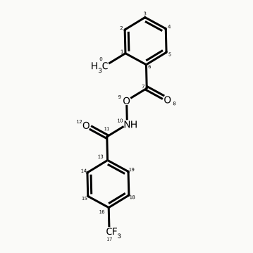 Cc1ccccc1C(=O)ONC(=O)c1ccc(C(F)(F)F)cc1